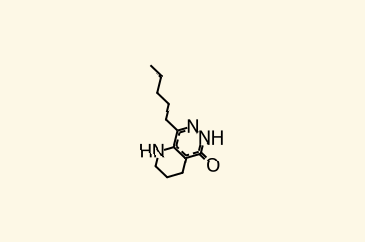 CCCCCc1n[nH]c(=O)c2c1NCCC2